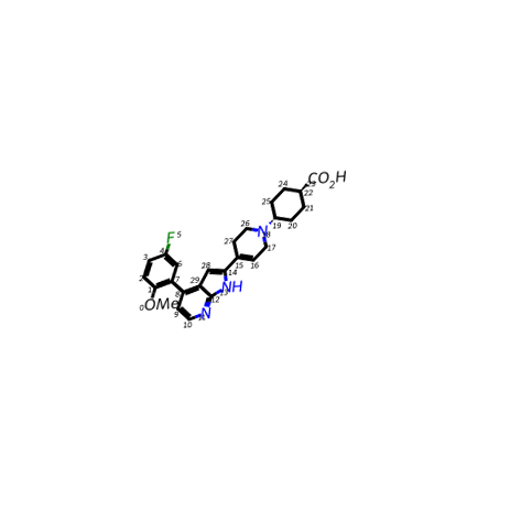 COc1ccc(F)cc1-c1ccnc2[nH]c(C3=CCN([C@H]4CC[C@H](C(=O)O)CC4)CC3)cc12